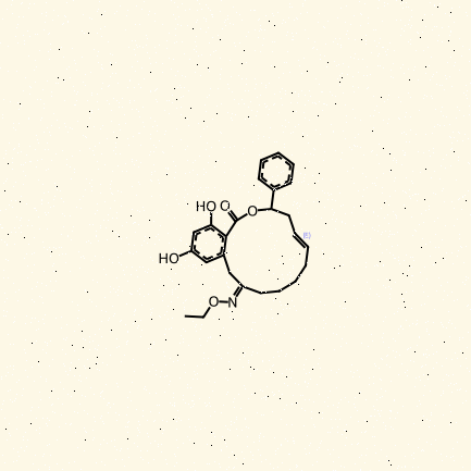 CCON=C1CCCC/C=C/CC(c2ccccc2)OC(=O)c2c(O)cc(O)cc2C1